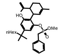 C=C(C)C1CCC(C)=CC1c1c(O)cc(C(C)(C)CCCCCC)cc1OP(=O)(Cc1ccccc1)OC